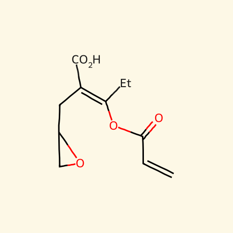 C=CC(=O)OC(CC)=C(CC1CO1)C(=O)O